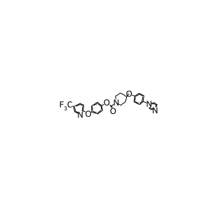 O=C(Oc1ccc(Oc2ccc(C(F)(F)F)cn2)cc1)N1CCC(Oc2ccc(-n3ccnc3)cc2)CC1